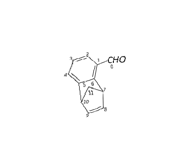 O=Cc1cccc2c1C1C=CC2C1